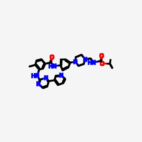 Cc1ccc(C(=O)Nc2ccc(N3CCN(CNC(=O)OC(C)C)CC3)cc2)cc1Nc1nccc(-c2cccnc2)n1